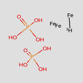 O=P(O)(O)O.O=P(O)(O)O.[3H][Fe].[Fe].[Fe]